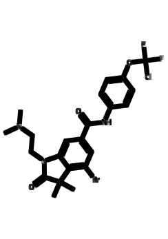 CN(C)CCN1C(=O)C(C)(C)c2c(Br)cc(C(=O)Nc3ccc(OC(F)(F)Cl)cc3)cc21